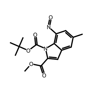 COC(=O)c1cc2cc(C)cc(N=O)c2n1C(=O)OC(C)(C)C